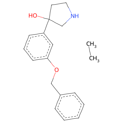 CC.OC1(c2cccc(OCc3ccccc3)c2)CCNC1